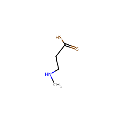 CNCCC(=S)S